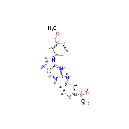 COCc1cccc(-n2nnc3cnc(NC4C=CC=C([S+](C)[O-])C4)nc32)c1